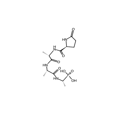 C[C@H](NC(=O)[C@H](C)NC(=O)[C@@H]1CCC(=O)N1)C(=O)N[C@@H](C)P(=O)(O)O